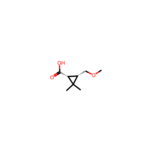 COC[C@H]1[C@@H](C(=O)O)C1(C)C